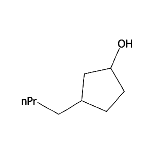 CCCCC1CCC(O)C1